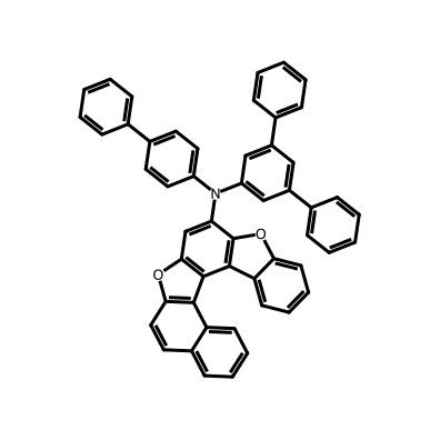 c1ccc(-c2ccc(N(c3cc(-c4ccccc4)cc(-c4ccccc4)c3)c3cc4oc5ccc6ccccc6c5c4c4c3oc3ccccc34)cc2)cc1